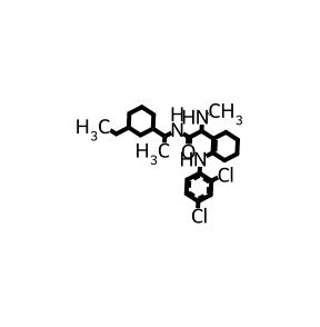 CCC1CCCC(C(C)NC(=O)C(NC)C2=C(Nc3ccc(Cl)cc3Cl)CCCC2)C1